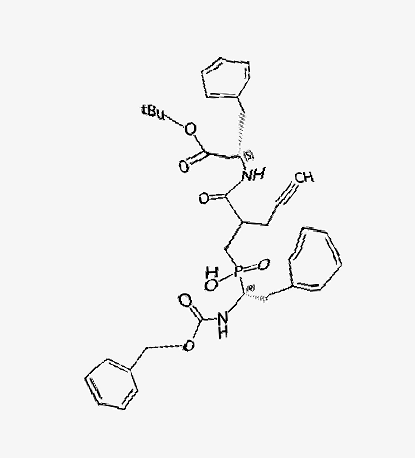 C#CCC(CP(=O)(O)[C@H](Cc1ccccc1)NC(=O)OCc1ccccc1)C(=O)N[C@@H](Cc1ccccc1)C(=O)OC(C)(C)C